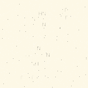 O=C(NCC(F)F)c1cnc2ccc(C3=CCCCc4nc(NC5CCC(F)(F)CC5)ncc43)cn12